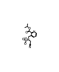 CC(C)OC(=O)c1ncccc1CN(CC#N)[SH](=O)=O